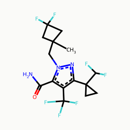 CC1(Cn2nc(C3(C(F)F)CC3)c(C(F)(F)F)c2C(N)=O)CC(F)(F)C1